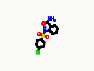 NC(=O)c1ccccc1NS(=O)(=O)c1ccc(Cl)cc1